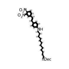 CCCCCCCCCCCCCCCCCCCCCCNc1ccc(C=Cc2ccc([N+](=O)[O-])c([N+](=O)[O-])c2)cc1